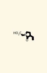 C=CC1CCN(CC(=O)O)C1=O